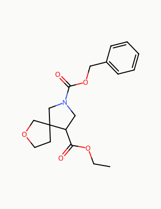 CCOC(=O)C1CN(C(=O)OCc2ccccc2)CC12CCOC2